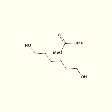 COC(=O)OC.OCCCCCCO